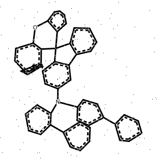 c1ccc(-c2ccc(N(c3ccc4c(c3)-c3ccccc3C43c4ccccc4Oc4ccc5ccccc5c43)c3ccccc3-c3ccccc3)cc2)cc1